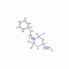 CC1(C)CC(N)CC(C)(C)N1OCc1ccccc1